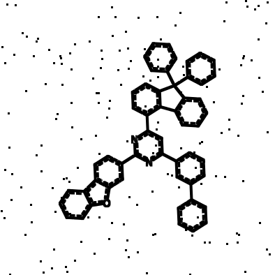 c1ccc(-c2cccc(-c3cc(-c4cccc5c4-c4ccccc4C5(c4ccccc4)c4ccccc4)nc(-c4ccc5c(c4)oc4ccccc45)n3)c2)cc1